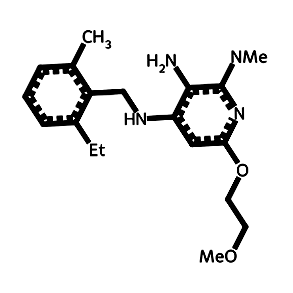 CCc1cccc(C)c1CNc1cc(OCCOC)nc(NC)c1N